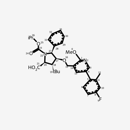 COc1ncc(-c2ccc(F)cc2C)cc1CO[C@H]1[C@H](C(C)(C)C)[C@@H](C(=O)O)N(C(=O)OC(C)C)[C@H]1c1ccccc1